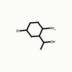 CCC1CCC([N+](=O)[O-])C(C(C)O)C1